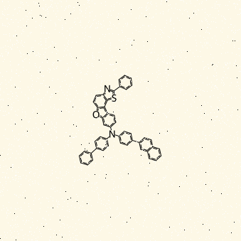 c1ccc(-c2ccc(N(c3ccc(-c4ccc5ccccc5c4)cc3)c3ccc4c(c3)oc3ccc5nc(-c6ccccc6)sc5c34)cc2)cc1